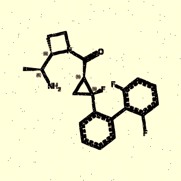 C[C@H](N)[C@@H]1CCN1C(=O)[C@@H]1C[C@@]1(F)c1ccccc1-c1c(F)cccc1F